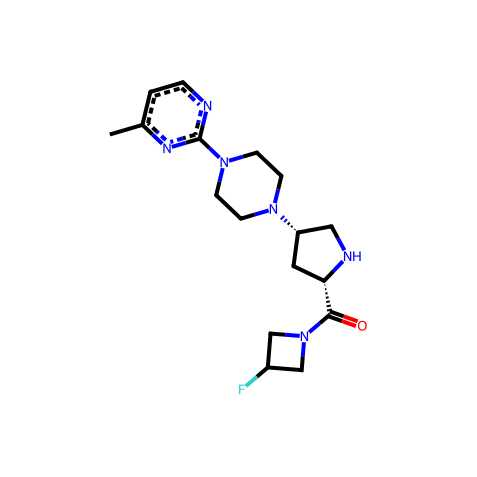 Cc1ccnc(N2CCN([C@@H]3CN[C@H](C(=O)N4CC(F)C4)C3)CC2)n1